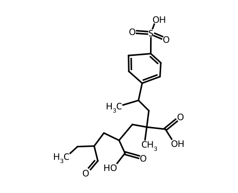 CCC(C=O)CC(CC(C)(CC(C)c1ccc(S(=O)(=O)O)cc1)C(=O)O)C(=O)O